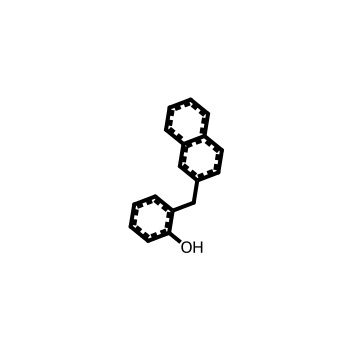 Oc1ccccc1Cc1ccc2ccccc2c1